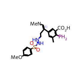 CN/C=C(\CCNNS(=O)(=O)c1ccc(OC)cc1)c1cc(C)c(P)c(C(=O)O)c1